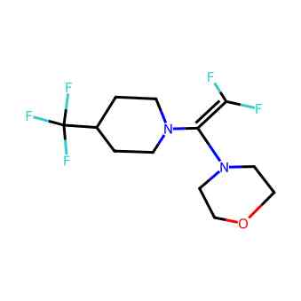 FC(F)=C(N1CCOCC1)N1CCC(C(F)(F)F)CC1